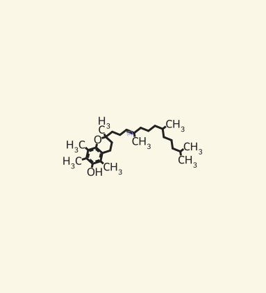 C/C(=C\CCC1(C)CCc2c(C)c(O)c(C)c(C)c2O1)CCCC(C)CCCC(C)C